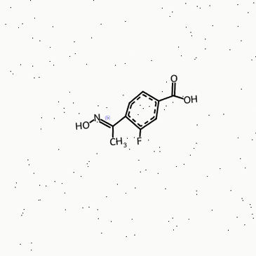 C/C(=N\O)c1ccc(C(=O)O)cc1F